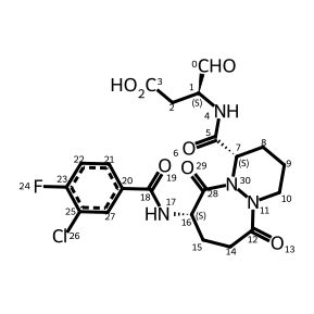 O=C[C@H](CC(=O)O)NC(=O)[C@@H]1CCCN2C(=O)CC[C@H](NC(=O)c3ccc(F)c(Cl)c3)C(=O)N12